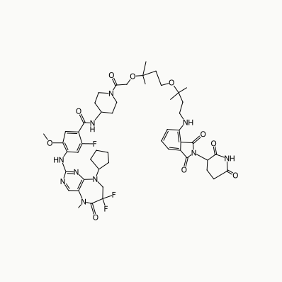 COc1cc(C(=O)NC2CCN(C(=O)COC(C)(C)CCOC(C)(C)CCNc3cccc4c3C(=O)N(C3CCC(=O)NC3=O)C4=O)CC2)c(F)cc1Nc1ncc2c(n1)N(C1CCCC1)CC(F)(F)C(=O)N2C